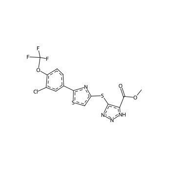 COC(=O)c1[nH]nnc1Sc1csc(-c2ccc(OC(F)(F)F)c(Cl)c2)n1